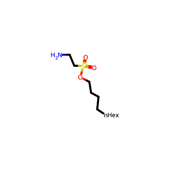 CCCCCCCCCCOS(=O)(=O)CCN